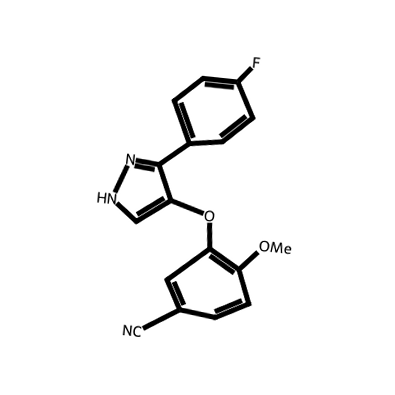 COc1ccc(C#N)cc1Oc1c[nH]nc1-c1ccc(F)cc1